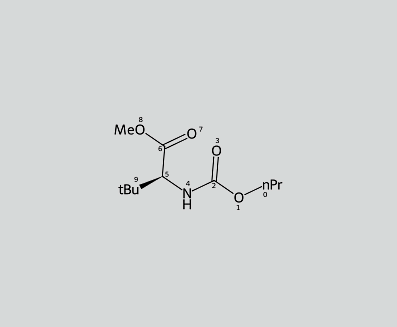 CCCOC(=O)N[C@H](C(=O)OC)C(C)(C)C